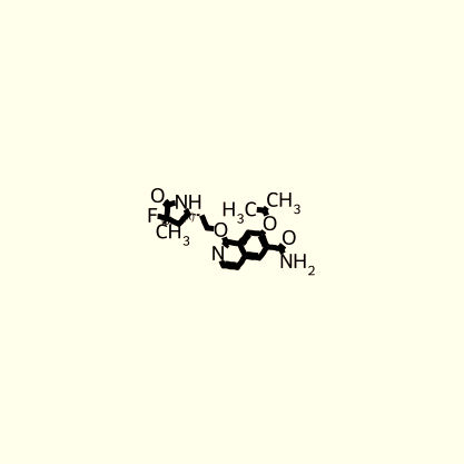 CC(C)Oc1cc2c(OCC[C@@H]3C[C@](C)(F)C(=O)N3)nccc2cc1C(N)=O